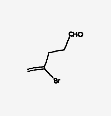 C=C(Br)CCC=O